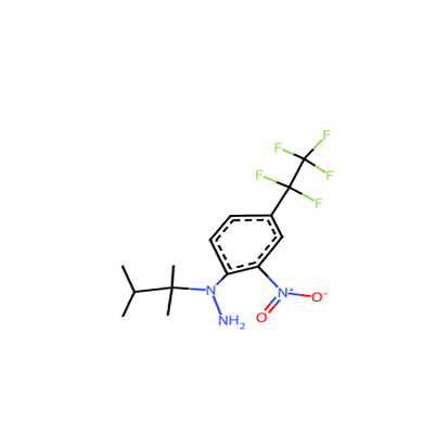 CC(C)C(C)(C)N(N)c1ccc(C(F)(F)C(F)(F)F)cc1[N+](=O)[O-]